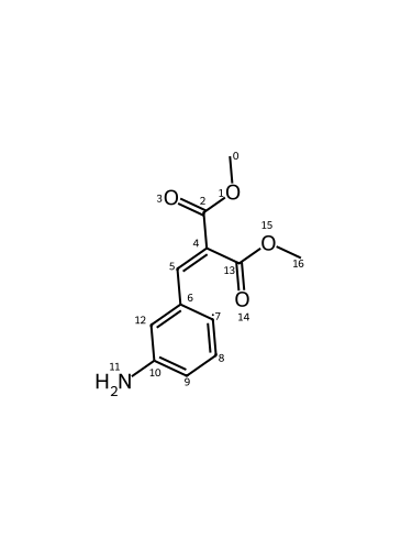 COC(=O)C(=Cc1[c]ccc(N)c1)C(=O)OC